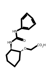 O=C(O)CO[C@@H]1CCCC[C@H]1NC(=O)Nc1ccccc1